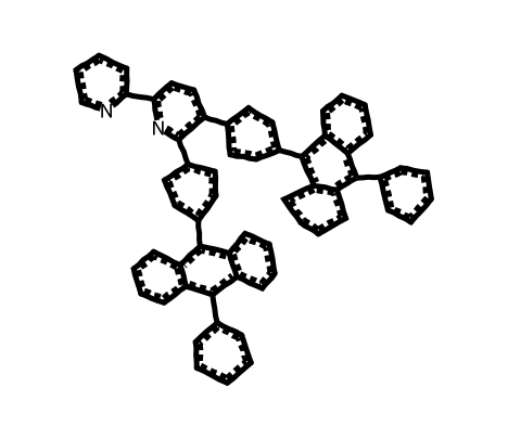 c1ccc(-c2c3ccccc3c(-c3ccc(-c4ccc(-c5ccccn5)nc4-c4ccc(-c5c6ccccc6c(-c6ccccc6)c6ccccc56)cc4)cc3)c3ccccc23)cc1